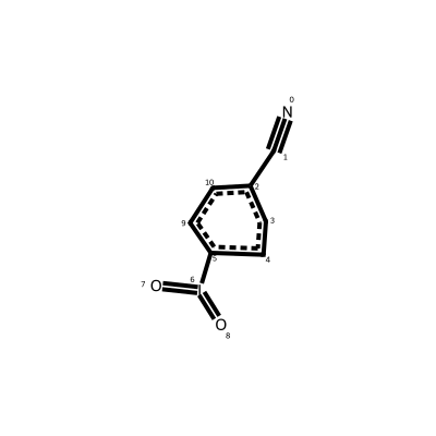 N#Cc1ccc(I(=O)=O)cc1